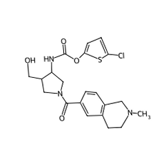 CN1CCc2cc(C(=O)N3CC(CO)C(NC(=O)Oc4ccc(Cl)s4)C3)ccc2C1